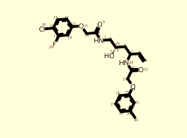 C=CC(C[C@H](O)CNC(=O)COc1ccc(Cl)c(F)c1)NC(=O)COc1cccc(C)c1